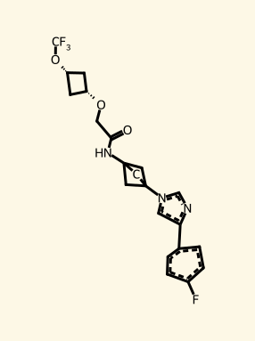 O=C(CO[C@H]1C[C@@H](OC(F)(F)F)C1)NC12CC(n3cnc(-c4ccc(F)cc4)c3)(C1)C2